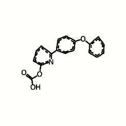 O=C(O)Oc1cccc(-c2ccc(Oc3ccccc3)cc2)n1